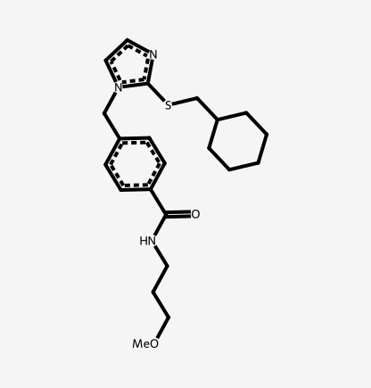 COCCCNC(=O)c1ccc(Cn2ccnc2SCC2CCCCC2)cc1